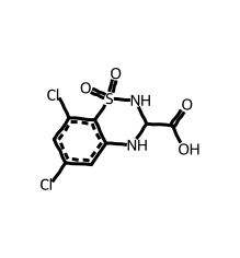 O=C(O)C1Nc2cc(Cl)cc(Cl)c2S(=O)(=O)N1